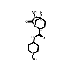 CCCCN1CCC(NC(=O)[C@@H]2CC[C@@H]3CN2C(=O)N3O)CC1